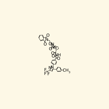 Cc1ccc(-c2cc(C(F)(F)F)nn2-c2ccc(S(=O)(=O)NC(=O)[C@@H]3CCN3[N+]([O-])=NOCN3C(=O)c4ccccc4C3=O)cc2)cc1